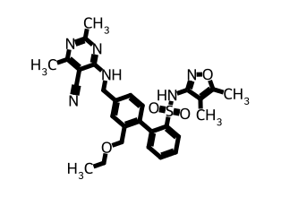 CCOCc1cc(CNc2nc(C)nc(C)c2C#N)ccc1-c1ccccc1S(=O)(=O)Nc1noc(C)c1C